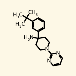 CC(C)(C)c1cccc(C2(N)CCN(c3ncccn3)CC2)c1